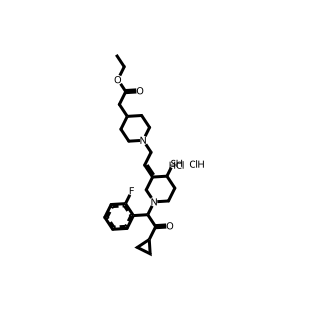 CCOC(=O)CC1CCN(C/C=C2/CN(C(C(=O)C3CC3)c3ccccc3F)CCC2S)CC1.Cl.Cl